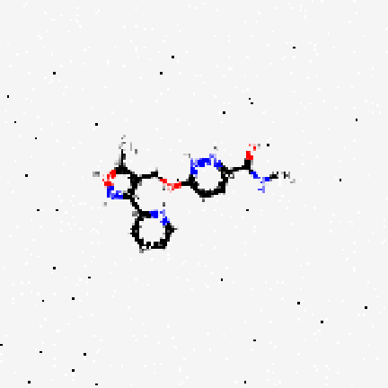 CNC(=O)c1ccc(OCc2c(-c3ccccn3)noc2C)nn1